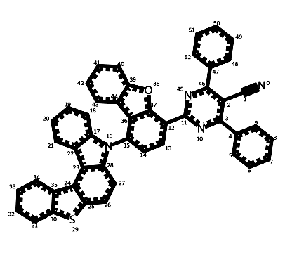 N#Cc1c(-c2ccccc2)nc(-c2ccc(-n3c4ccccc4c4c5c(ccc43)sc3ccccc35)c3c2oc2ccccc23)nc1-c1ccccc1